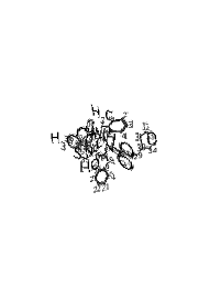 Cc1ccccc1CNC(=O)[C@H]1N(C(=O)[C@@H](O)[C@H](Cc2ccccc2)NC(=O)OCC2CCOC2)CSC1(C)C